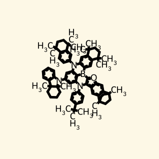 CC(C)(C)c1ccc(N2c3cc(N4c5ccccc5C5(C)CCCCC45C)cc4c3B(c3cc5c(cc3N4c3ccc4c(c3)C(C)(C)CCC4(C)C)C(C)(C)CCC5(C)C)c3oc4cc5c(cc4c32)C2(C)CCC5(C)CC2)cc1